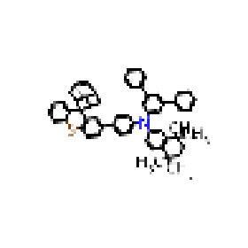 CC1(C)CCC(C)(C)c2cc(N(c3ccc(-c4ccc5c(c4)C4(c6ccccc6S5)C5CC6CC7CC4C75C6)cc3)c3cc(-c4ccccc4)cc(-c4ccccc4)c3)ccc21